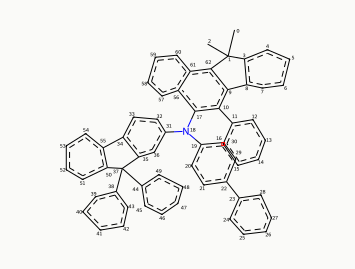 CC1(C)c2ccccc2-c2c(-c3ccccc3)c(N(c3ccc(-c4ccccc4)cc3)c3ccc4c(c3)C(c3ccccc3)(c3ccccc3)c3ccccc3-4)c3ccccc3c21